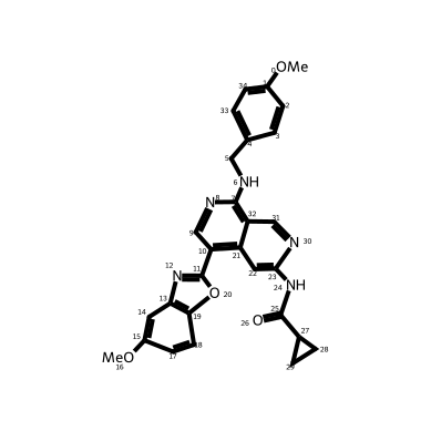 COc1ccc(CNc2ncc(-c3nc4cc(OC)ccc4o3)c3cc(NC(=O)C4CC4)ncc23)cc1